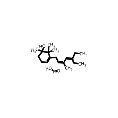 CCC(=CC(C)=CCC1=CCCC(C)(O)C1(C)C)CC.O=PO